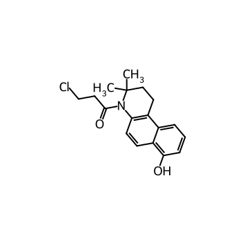 CC1(C)CCc2c(ccc3c(O)cccc23)N1C(=O)CCCl